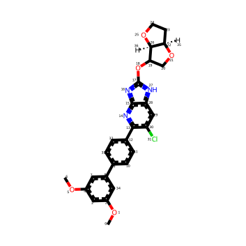 COc1cc(OC)cc(-c2ccc(-c3nc4nc(OC5CO[C@@H]6CCO[C@H]56)[nH]c4cc3Cl)cc2)c1